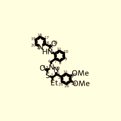 CCC1SC(=O)N(Cc2ccccc2NC(=O)c2ccccn2)N=C1c1ccc(OC)c(OC)c1